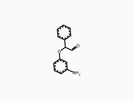 Nc1cccc(OC(C=O)c2ccccc2)c1